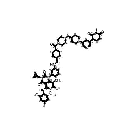 Cc1c(=O)n(C)c(Nc2ccc(I)cc2F)c2c(=O)n(C3CC3)c(=O)n(-c3cccc(NCC4CCC(C(=O)N5CCN(CC6CCN(c7cncc(C8CCC(=O)NC8=O)c7)CC6)CC5)CC4)c3)c12